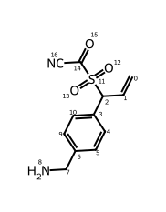 C=CC(c1ccc(CN)cc1)S(=O)(=O)C(=O)C#N